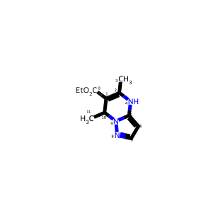 CCOC(=O)C1=C(C)Nc2ccnn2C1C